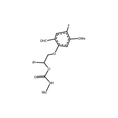 COc1cc(OCC(OC(=O)NC(C)(C)C)C(C)C)c(C=O)cc1F